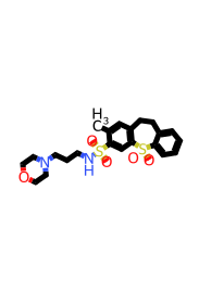 Cc1cc2c(cc1S(=O)(=O)NCCCN1CCOCC1)S(=O)(=O)c1ccccc1CC2